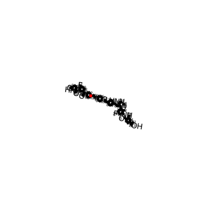 Cc1c(NC(=O)c2ccc(C(C)(C)O)cc2F)cc(F)cc1-c1ncnc2[nH]c(-c3ccc(COC4CCN(CCC5CCN(C(=O)c6ccc(F)c(N7CCC(=O)NC7=O)c6)CC5)CC4)cc3)cc12